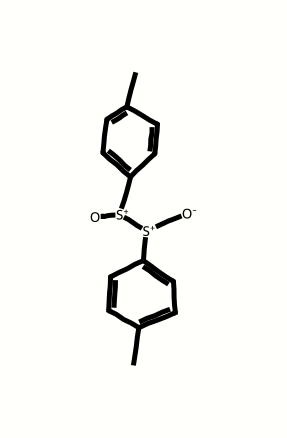 Cc1ccc([S+]([O-])[S+]([O-])c2ccc(C)cc2)cc1